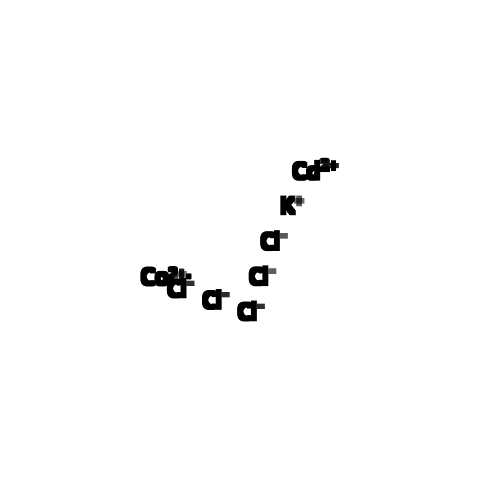 [Cd+2].[Cl-].[Cl-].[Cl-].[Cl-].[Cl-].[Co+2].[K+]